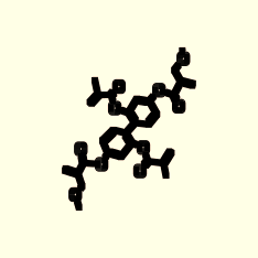 C=C(C)C(=O)Oc1cc(OC(=O)C(=C)COC)ccc1-c1ccc(OC(=O)C(=C)COC)cc1OC(=O)C(=C)C